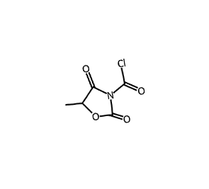 CC1OC(=O)N(C(=O)Cl)C1=O